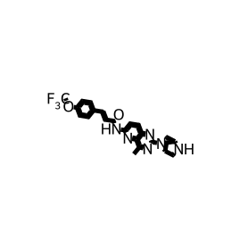 Cc1nc(N2CC3CC2CN3)nc2ccc(NC(=O)C=Cc3ccc(OC(F)(F)F)cc3)nc12